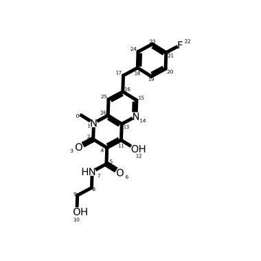 Cn1c(=O)c(C(=O)NCCO)c(O)c2ncc(Cc3ccc(F)cc3)cc21